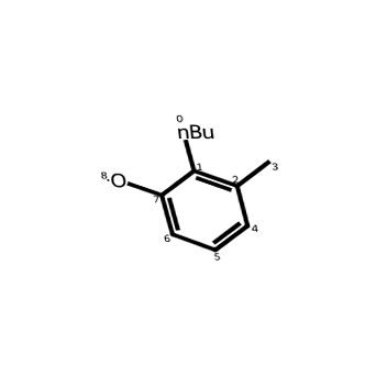 CCCCc1c(C)cccc1[O]